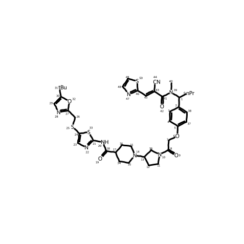 CCCC(c1ccc(OCC(=O)N2CCC(N3CCC(C(=O)Nc4ncc(SCc5ncc(C(C)(C)C)o5)s4)CC3)C2)cc1)N(C)C(=O)/C(C#N)=C/c1nccs1